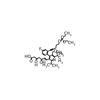 CCOP(OCC)OCCCC#Cc1cc(F)ccc1-c1c(/C=C/[C@@H](O)C[C@@H](O)CC(=O)O)c(C(C)C)nc(C(C)C)c1COC